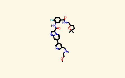 COCCN(C)Cc1cncc(-c2ccn3c(C(=O)Nc4cc(C(=O)NCC5CCC(C)(C)O5)ccc4F)cnc3c2)c1